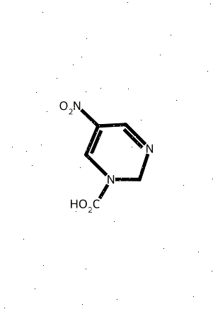 O=C(O)N1C=C([N+](=O)[O-])C=NC1